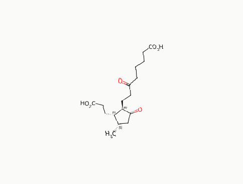 C[C@H]1CC(=O)[C@H](CCC(=O)CCCCC(=O)O)[C@H]1CCC(=O)O